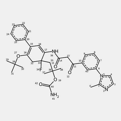 Cc1nccn1-c1cccc(C(=O)CC(=O)NC2=CC(c3ccccc3)=C(OC(C)(C)C)CC2(F)CC(C)(C)OC(N)=O)c1